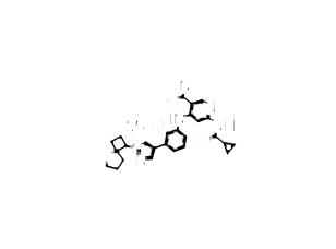 COc1c(Nc2cc(NC(=O)C3CC3)ncc2C(N)=O)cccc1-c1cnn(C2CCC23CCCO3)c1